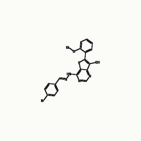 CCOc1ccccc1-c1sc2c(N/N=C/c3ccc(Br)cc3)ncnc2c1O